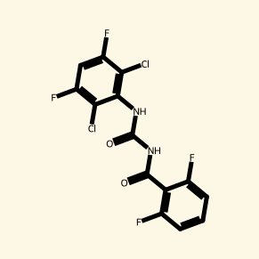 O=C(NC(=O)c1c(F)cccc1F)Nc1c(Cl)c(F)cc(F)c1Cl